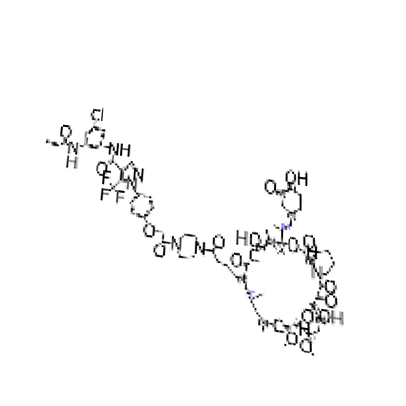 C=CC(=O)Nc1cc(Cl)cc(NC(=O)c2cnn(-c3ccc(OCC(=O)N4CCN(C(=O)CCC[C@@H]5/C=C(\C)C[C@H](C)C[C@H](OC)[C@H]6O[C@@](O)(C(=O)C(=O)N7CCCC[C@H]7C(=O)O[C@H](/C(C)=C/[C@@H]7CC[C@@H](O)[C@H](OC)C7)[C@H](C)[C@@H](O)CC5=O)[C@H](C)C[C@@H]6OC)CC4)cc3)c2C(F)(F)F)c1